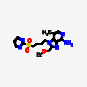 CCOCc1nc2c(N)ncc(C)c2n1CCCCS(=O)(=O)c1ncccn1